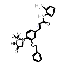 Nc1ccccc1NC(=O)/C=C/c1ccc(N2CC(=O)NS2(=O)=O)c(OCc2ccccc2)c1